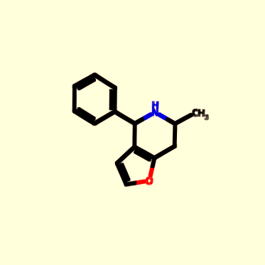 CC1Cc2occc2C(c2ccccc2)N1